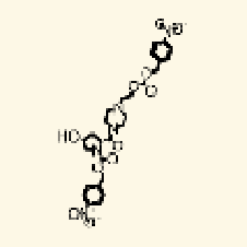 O=C(OCCN1CCN(C(=O)[C@H]2C[C@@H](O)CN2C(=O)OCc2ccc([N+](=O)[O-])cc2)CC1)OCc1ccc([N+](=O)[O-])cc1